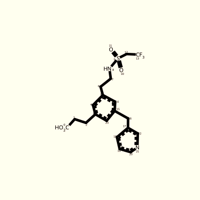 O=C(O)CCc1cc(CCNS(=O)(=O)CC(F)(F)F)cc(Cc2cccnc2)c1